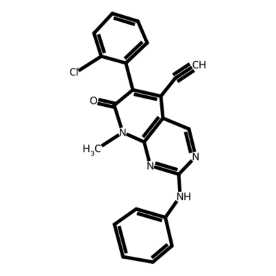 C#Cc1c(-c2ccccc2Cl)c(=O)n(C)c2nc(Nc3ccccc3)ncc12